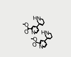 COC(=O)c1cc(C2=CCCNC2)ccn1.COC(=O)c1cc(C2=CCCNC2)ccn1